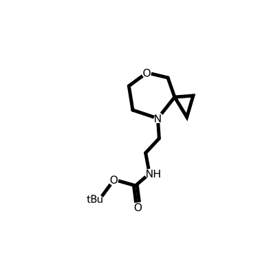 CC(C)(C)OC(=O)NCCN1CCOCC12CC2